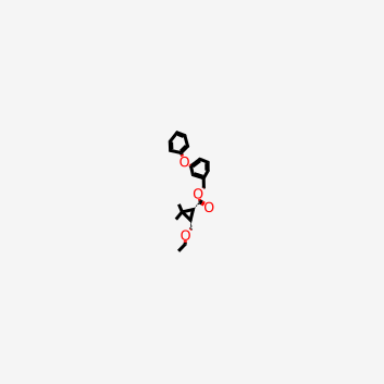 CCOC[C@H]1[C@@H](C(=O)OCc2cccc(Oc3ccccc3)c2)C1(C)C